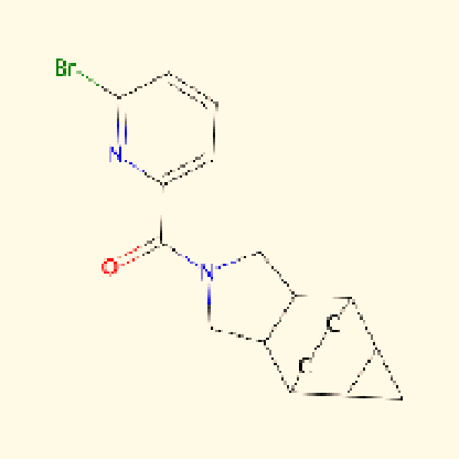 O=C(c1cccc(Br)n1)N1CC2C3CCC(C4CC34)C2C1